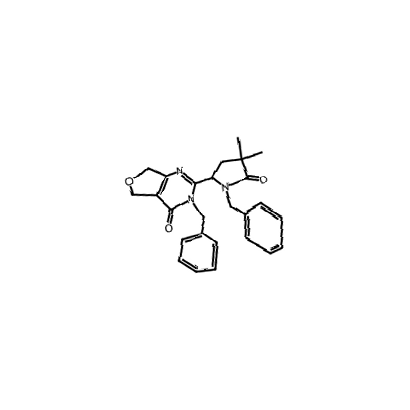 CC1(C)CC(c2nc3c(c(=O)n2Cc2ccccc2)COC3)N(Cc2ccccc2)C1=O